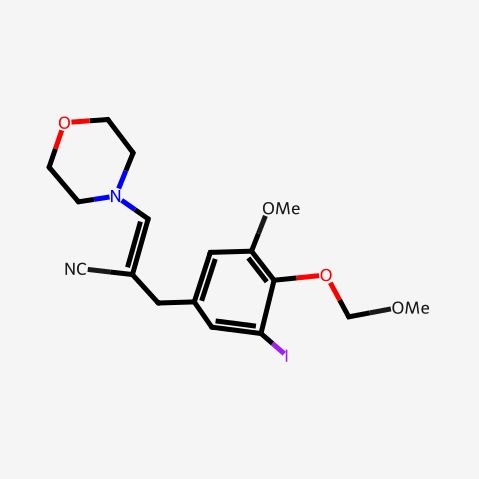 COCOc1c(I)cc(CC(C#N)=CN2CCOCC2)cc1OC